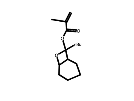 C=C(C)C(=O)OC1(CCCC)OC2CCCCC21